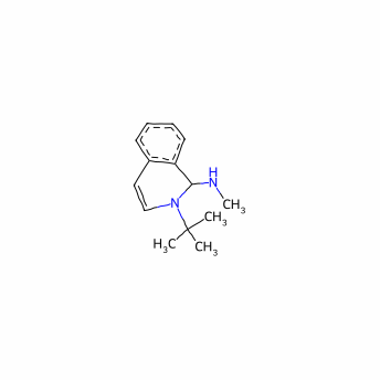 CNC1c2ccccc2C=CN1C(C)(C)C